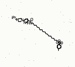 Cc1ccc(S(=O)(=O)OCCCCCCCCCCCCCCCCCNC(=O)c2ccc(N3CCN(CC(C)C)CC3)nc2)cc1